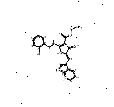 CCOC(=O)C1=C(NCc2ccccc2F)OC(=Cc2c[nH]c3ncccc23)C1=O